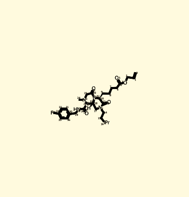 C=CCOC(=O)CCCC[C@H]1C(=O)N(CCC(C)C)C[C@H]2N1C(=O)CN(C)N2C(=O)NCc1ccc(F)cc1